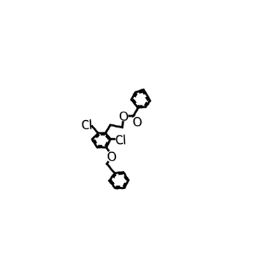 O=C(OCCc1c(Cl)ccc(OCc2ccccc2)c1Cl)c1ccccc1